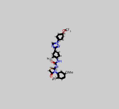 COc1ccc(C(C)C)c(N2C(=O)CS/C2=N\C(=O)Nc2ccc(-c3ncn(-c4ccc(OC(F)(F)F)cc4)n3)cc2C)c1